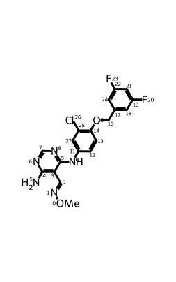 CO/N=C/c1c(N)ncnc1Nc1ccc(OCc2cc(F)cc(F)c2)c(Cl)c1